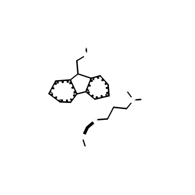 CCN=C=NCCCN(C)C.Cl.O=COCC1c2ccccc2-c2ccccc21